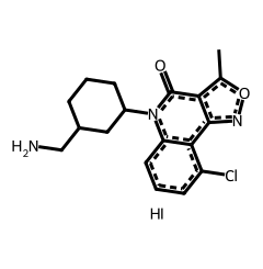 Cc1onc2c1c(=O)n(C1CCCC(CN)C1)c1cccc(Cl)c21.I